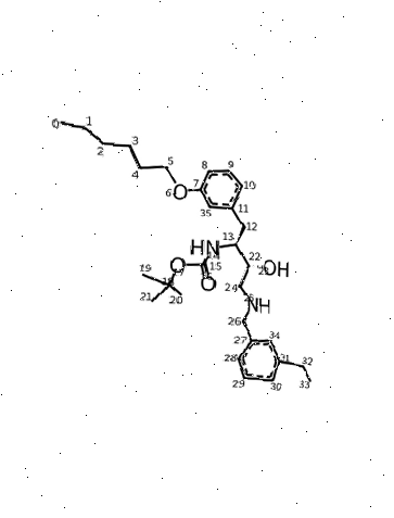 CCCCCCOc1cccc(C[C@H](NC(=O)OC(C)(C)C)[C@H](O)CNCc2cccc(CC)c2)c1